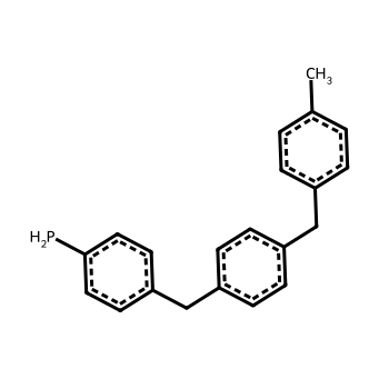 Cc1ccc(Cc2ccc(Cc3ccc(P)cc3)cc2)cc1